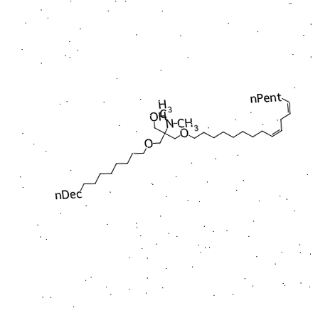 CCCCC/C=C\C/C=C\CCCCCCCCOCC(CO)(COCCCCCCCCCCCCCCCCCC)N(C)C